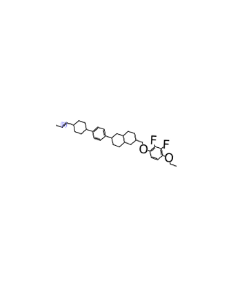 C/C=C/C1CCC(c2ccc(C3CCC4CC(COc5ccc(OCC)c(F)c5F)CCC4C3)cc2)CC1